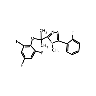 Cn1c(-c2ccccc2F)nnc1C(C)(C)Oc1c(F)cc(F)cc1F